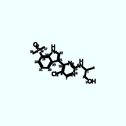 CC(CO)Nc1ncc(Cl)c(-c2c[nH]c3c(P(C)(C)=O)cccc23)n1